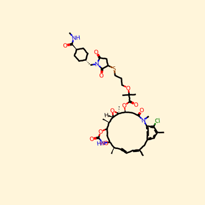 CNC(=O)[C@H]1CC[C@H](CN2C(=O)CC(SCCCOC(C)(C)C(=O)O[C@H]3CC(=O)N(C)c4cc(cc(C)c4Cl)C/C(C)=C/C=C/[C@@H](C)[C@@]4(O)CC(OC(=O)N4)[C@@H](C)[C@@H]4O[C@@]34C)C2=O)CC1